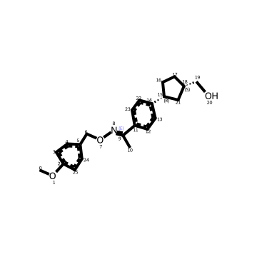 COc1ccc(CO/N=C(\C)c2ccc([C@@H]3CC[C@H](CO)C3)cc2)cc1